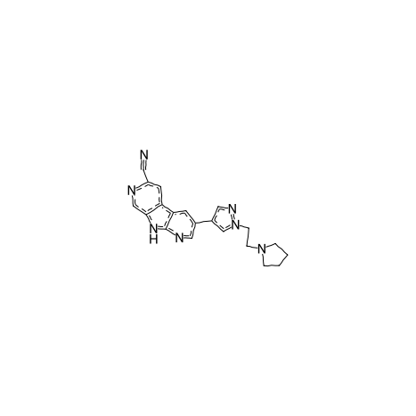 N#Cc1cc2c(cn1)[nH]c1ncc(-c3cnn(CCN4CCCC4)c3)cc12